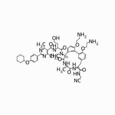 Cc1nc(-c2ccc(OC3CCCCC3)cc2)nc(C)c1C(=O)NC(CCO)C(=O)N(C)[C@@H]1C(=O)N[C@@H](C)C(=O)N[C@H](C(=O)NCC#N)Cc2ccc(OCCN)c(c2)-c2cc1ccc2OCCN